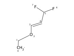 [CH2]COC=CC(F)F